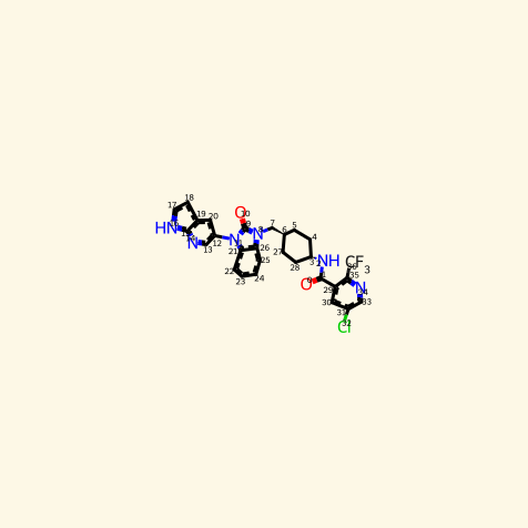 O=C(N[C@H]1CC[C@H](Cn2c(=O)n(-c3cnc4[nH]ccc4c3)c3ccccc32)CC1)c1cc(Cl)cnc1C(F)(F)F